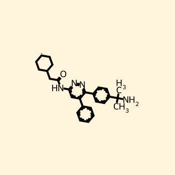 CC(C)(N)c1ccc(-c2nnc(NC(=O)CC3CC[CH]CC3)cc2-c2ccccc2)cc1